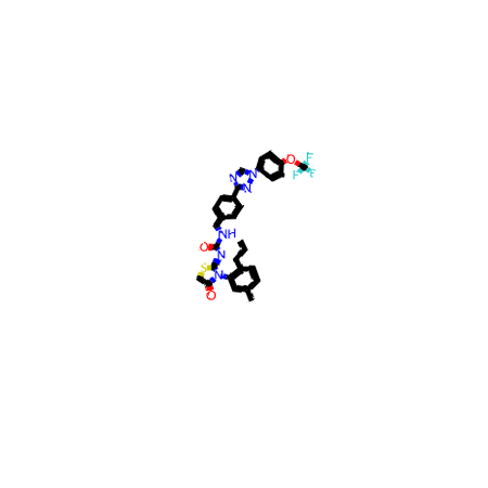 CCCc1ccc(C)cc1N1C(=O)CSC1=NC(=O)NCc1ccc(-c2ncn(-c3ccc(OC(F)(F)F)cc3)n2)cc1